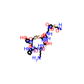 CNC(=O)CCSC1CC(=O)N(CCCNC(=O)[C@H](C)NC(=O)[C@@H]2CSSCCC(=O)N[C@@H](Cc3ccc(O)cc3)C(=O)N[C@H](Cc3c[nH]c4ccccc34)C(=O)N[C@@H](CCCCCN)C(=O)N[C@@H]([C@@H](C)O)C(=O)N2)C1=O